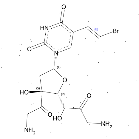 NCC(=O)C(O)[C@H]1O[C@@H](n2cc(/C=C/Br)c(=O)[nH]c2=O)C[C@@]1(O)C(=O)CN